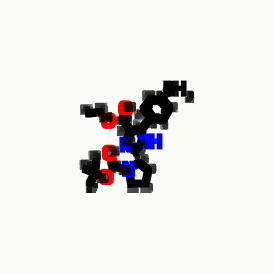 Bc1ccc(-c2[nH]c([C@@H]3CCCN3C(=O)OC(C)(C)C)nc2C(=O)OCC)cc1